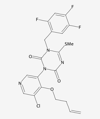 C=CCCOc1c(Cl)cncc1-n1c(=O)nc(SC)n(Cc2cc(F)c(F)cc2F)c1=O